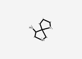 OC1CNCC12CC[CH]O2